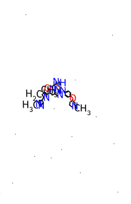 C=C1C(c2cnn(C)c2)=NC(c2cc3cnc(Nc4ccc(OC5CCCN(C)C5)cc4)nc3n(Cc3nccs3)c2=O)=C1C